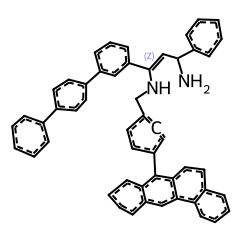 NC(/C=C(\NCc1ccc(-c2c3ccccc3cc3c2ccc2ccccc23)cc1)c1cccc(-c2ccc(-c3ccccc3)cc2)c1)c1ccccc1